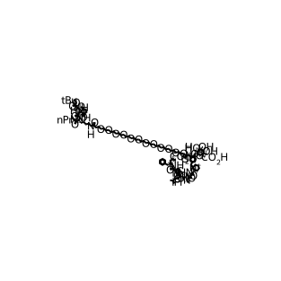 C=C(C)CO[C@H](C[C@H](C(C)C)N(C)C(=O)[C@@H](NC(=O)[C@H]1CCCC[N+]1(C)Cc1ccc(O[C@@H]2O[C@H](C(=O)O)[C@@H](O)[C@H](O)[C@H]2O)c(NC(=O)OCCOCCOCCOCCOCCOCCOCCOCCOCCOCCOCCOCCC(=O)NCCCC[C@H](NC(=O)[C@H](CNC(=O)OC(C)(C)C)N2C(=O)C=CC2=O)C(=O)NCCC)c1)[C@@H](C)CC)c1nc(C(=O)N[C@@H](Cc2ccccc2)C[C@H](C)C(=O)O)cs1